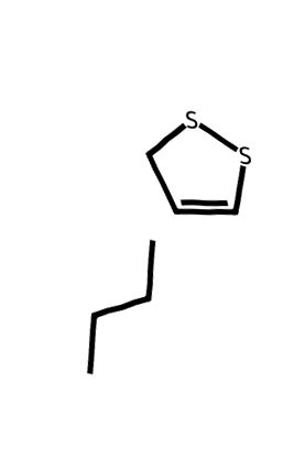 C1=CSSC1.CCCC